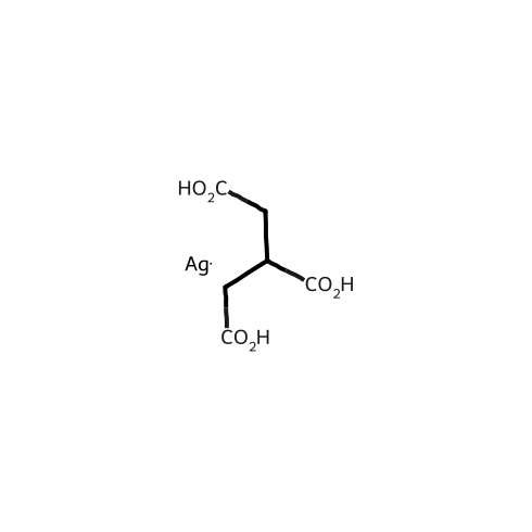 O=C(O)CC(CC(=O)O)C(=O)O.[Ag]